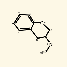 CCCN[C@@H]1COc2ccccc2C1